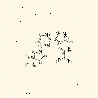 FC(F)c1cn2c(-c3nccc(N4CCC5(CCC5)C4)n3)cnc2cn1